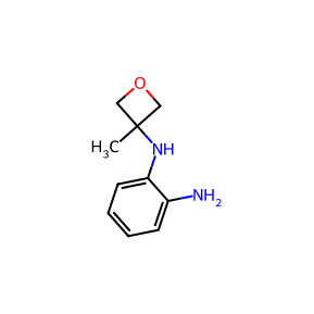 CC1(Nc2ccccc2N)COC1